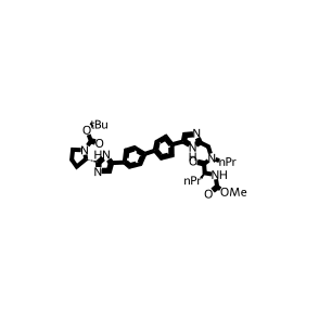 CCC[C@H](NC(=O)OC)C(=O)N(CCC)Cc1ncc(-c2ccc(-c3ccc(-c4cnc([C@@H]5CCCN5C(=O)OC(C)(C)C)[nH]4)cc3)cc2)[nH]1